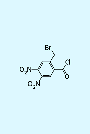 O=C(Cl)c1cc([N+](=O)[O-])c([N+](=O)[O-])cc1CBr